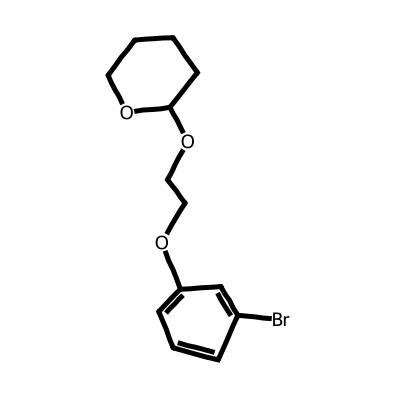 Brc1cccc(OCCOC2CCCCO2)c1